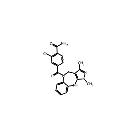 Cc1nn(C)c2c1CN(C(=O)c1ccc(C(N)=O)c(Cl)c1)c1ccccc1N2